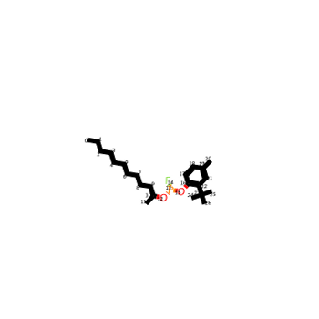 CCCCCCCCCCC(C)OP(F)Oc1ccc(C)cc1C(C)(C)C